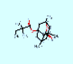 CCC(C)(C)C(=O)OC12CC3(C)CC(C)(C1)OC(=O)C(C)(C3)C2